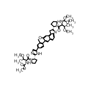 COC(=O)N[C@H](C(=O)N1CCC[C@H]1c1ncc(-c2ccc3c(c2)COc2cc4c5c(ccc4cc2-3)N=C([C@@H]2CCCN2C(=O)C(NC(OC)OC)[C@@H](C)OC)C5)[nH]1)[C@@H](C)OC